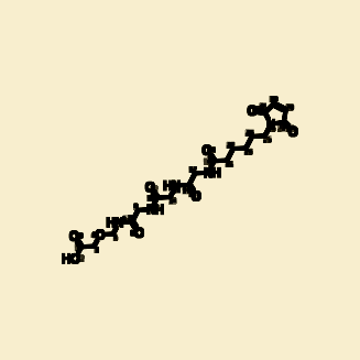 O=C(O)COCNC(=O)CNC(=O)CNC(=O)CNC(=O)CCCCCN1C(=O)C=CC1=O